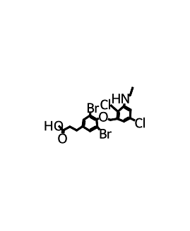 CCNc1cc(Cl)cc(COc2c(Br)cc(CCC(=O)O)cc2Br)c1Cl